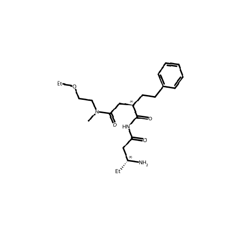 CCOCCN(C)C(=O)C[C@@H](CCc1ccccc1)C(=O)NC(=O)C[C@H](N)CC